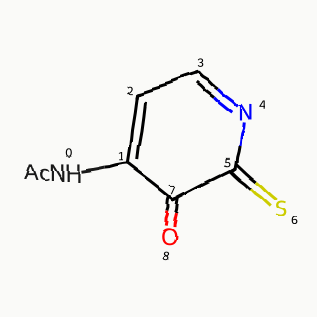 CC(=O)NC1=CC=NC(=S)C1=O